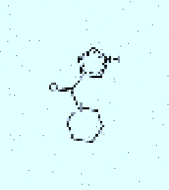 O=C(c1cc[nH]c1)N1CCCCC1